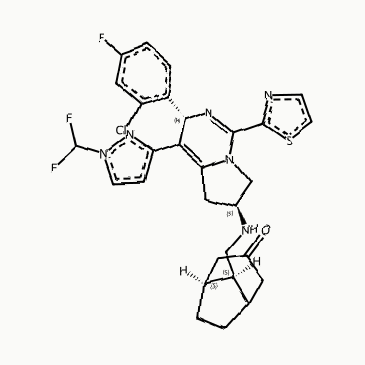 O=C1CC2CC[C@@H](C1)[C@H]2CN[C@H]1CC2=C(c3ccn(C(F)F)n3)[C@H](c3ccc(F)cc3Cl)N=C(c3nccs3)N2C1